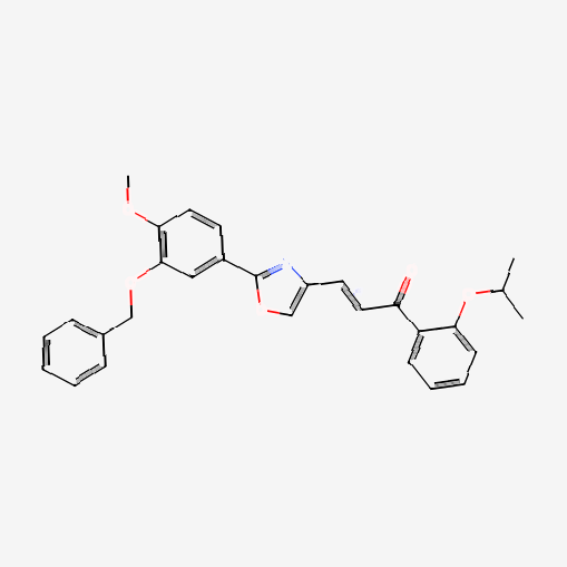 COc1ccc(-c2nc(/C=C/C(=O)c3ccccc3OC(C)C)co2)cc1OCc1ccccc1